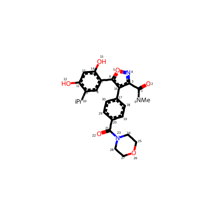 CNC(=O)c1noc(-c2cc(C(C)C)c(O)cc2O)c1-c1ccc(C(=O)N2CCOCC2)cc1